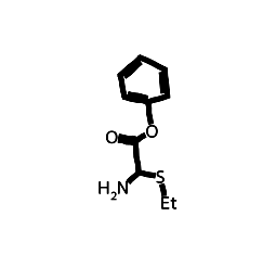 CCSC(N)C(=O)Oc1ccccc1